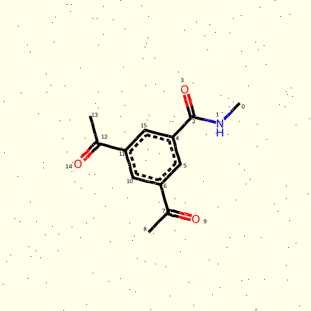 CNC(=O)c1cc(C(C)=O)cc(C(C)=O)c1